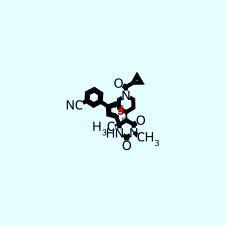 CN1C(=O)N[C@](C)(c2cc(-c3cccc(C#N)c3)cs2)[C@@H](C2CCN(C(=O)C3CC3)CC2)C1=O